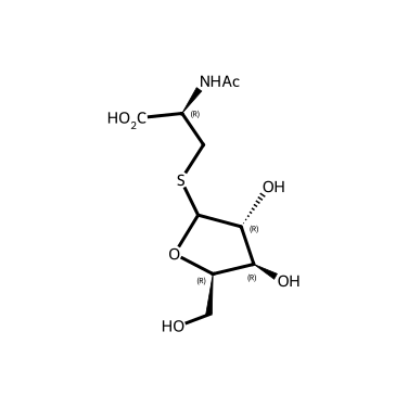 CC(=O)N[C@@H](CSC1O[C@H](CO)[C@H](O)[C@H]1O)C(=O)O